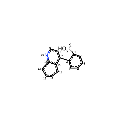 O=C(O)c1ccccc1-c1ccnc2ccccc12